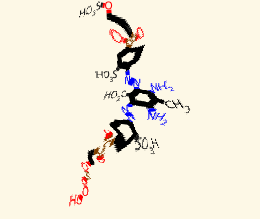 Cc1c(N)c(/N=N/c2ccc(S(=O)(=O)CCOSOOO)cc2S(=O)(=O)O)c(C(=O)O)c(/N=N/c2ccc(S(=O)(=O)CCOS(=O)(=O)O)cc2S(=O)(=O)O)c1N